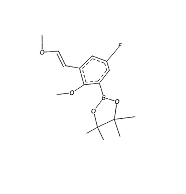 COC=Cc1cc(F)cc(B2OC(C)(C)C(C)(C)O2)c1OC